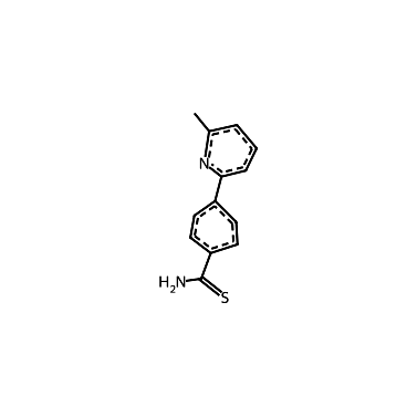 Cc1cccc(-c2ccc(C(N)=S)cc2)n1